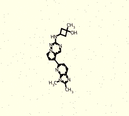 Cc1nc2ccc(-c3ccn4nc(NC5CC(C)(O)C5)ncc34)nc2n1C